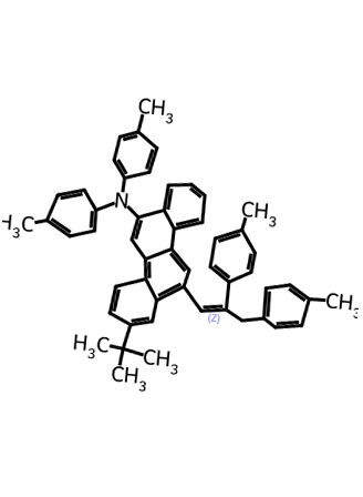 Cc1ccc(C/C(=C/c2cc3c4ccccc4c(N(c4ccc(C)cc4)c4ccc(C)cc4)cc3c3ccc(C(C)(C)C)cc23)c2ccc(C)cc2)cc1